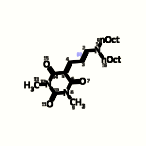 CCCCCCCCN(/C=C/C=C1C(=O)N(C)C(=O)N(C)C1=O)CCCCCCCC